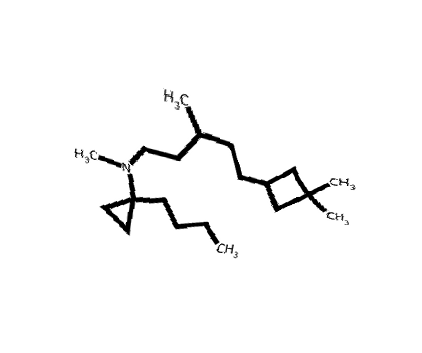 CCCCC1(N(C)CCC(C)CCC2CC(C)(C)C2)CC1